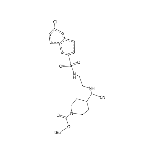 CC(C)(C)OC(=O)N1CCC(C(C#N)NCCNS(=O)(=O)c2ccc3cc(Cl)ccc3c2)CC1